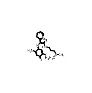 CC1=C/C(=N\c2c(NCCCN(C)C)nn3ccccc23)C(N)=CC1=O